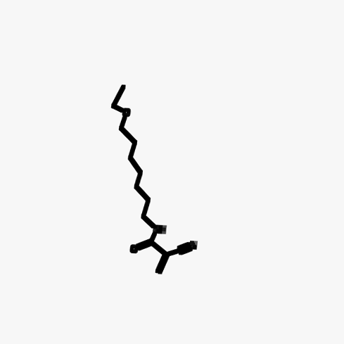 C=C(C#N)C(=O)NCCCCCCCOCC